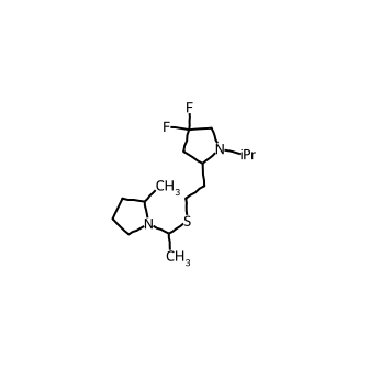 CC(C)N1CC(F)(F)CC1CCSC(C)N1CCCC1C